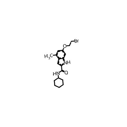 Cc1cc(OCCBr)cc2[nH]c(C(=O)NC3CCCCC3)cc12